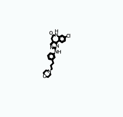 O=C1Cc2cnc(Nc3cccc(CCCN4CCOCC4)c3)nc2-c2ccc(Cl)cc2N1